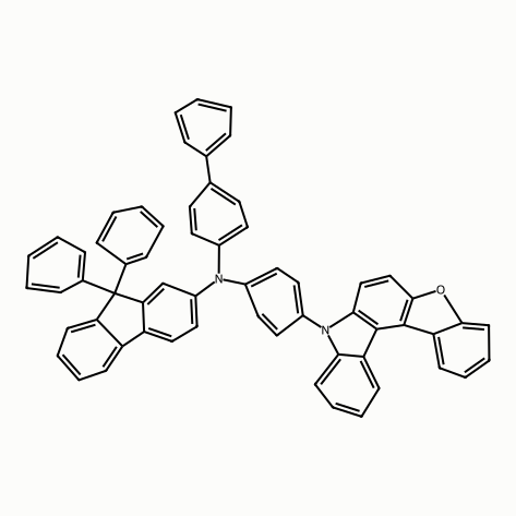 c1ccc(-c2ccc(N(c3ccc(-n4c5ccccc5c5c6c(ccc54)oc4ccccc46)cc3)c3ccc4c(c3)C(c3ccccc3)(c3ccccc3)c3ccccc3-4)cc2)cc1